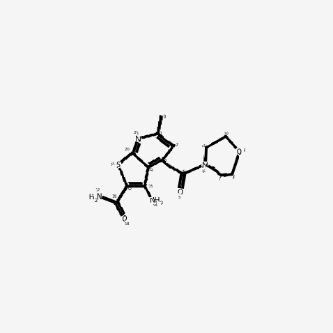 Cc1cc(C(=O)N2CCOCC2)c2c(N)c(C(N)=O)sc2n1